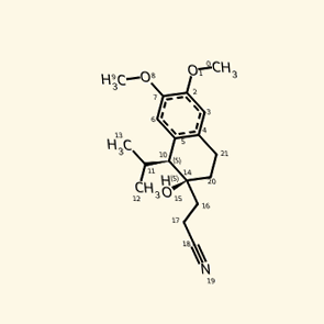 COc1cc2c(cc1OC)[C@H](C(C)C)[C@@](O)(CCC#N)CC2